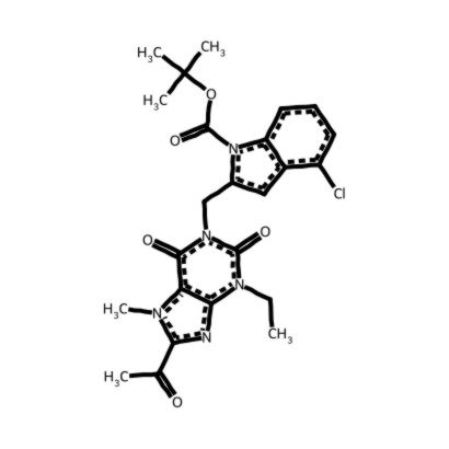 CCn1c(=O)n(Cc2cc3c(Cl)cccc3n2C(=O)OC(C)(C)C)c(=O)c2c1nc(C(C)=O)n2C